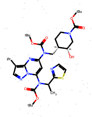 CC(C)c1cnn2c(N(C(=O)OC(C)(C)C)C(C)c3nccs3)cc(N(C[C@@H]3CCN(C(=O)OC(C)(C)C)C[C@@H]3O)C(=O)OC(C)(C)C)nc12